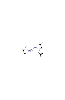 C=C(C)CN1C(=O)C(C)S/C1=N/N=C1/SCC(=O)N1C